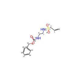 C=CCS(=O)(=O)NCCNC(=O)OCc1ccccc1